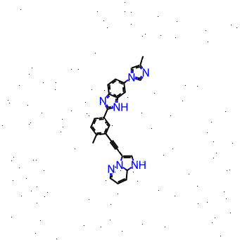 Cc1cn(-c2ccc3nc(-c4ccc(C)c(C#CC5=CNC6C=CC=NN56)c4)[nH]c3c2)cn1